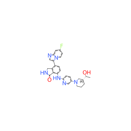 CC(O)[C@@H]1CCCN(c2ccc(Nc3ccc(-c4cnc5cc(F)ccn45)c4c3C(=O)NC4)nc2)C1